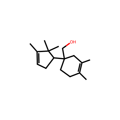 CC1=CCC(C2(CO)CCC(C)=C(C)C2)C1(C)C